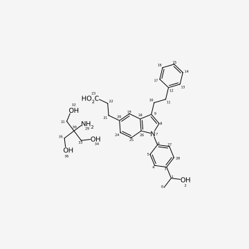 CC(O)c1ccc(-n2cc(CCc3ccccc3)c3cc(CCC(=O)O)ccc32)cc1.NC(CO)(CO)CO